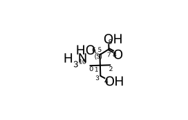 CC(C)(CO)[C@H](O)C(=O)O.N